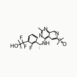 Cc1nc(N[C@H](C)c2cccc(C(F)(F)C(C)(C)O)c2F)c2cc(P(C)(C)=O)ncc2n1